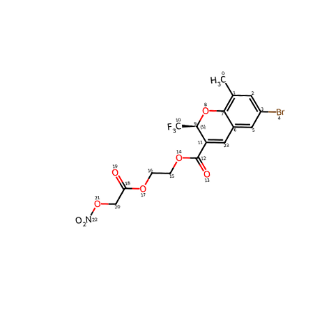 Cc1cc(Br)cc2c1O[C@H](C(F)(F)F)C(C(=O)OCCOC(=O)CO[N+](=O)[O-])=C2